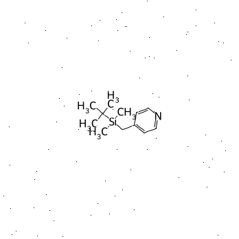 CC(C)(C)[Si](C)(C)Cc1ccncc1